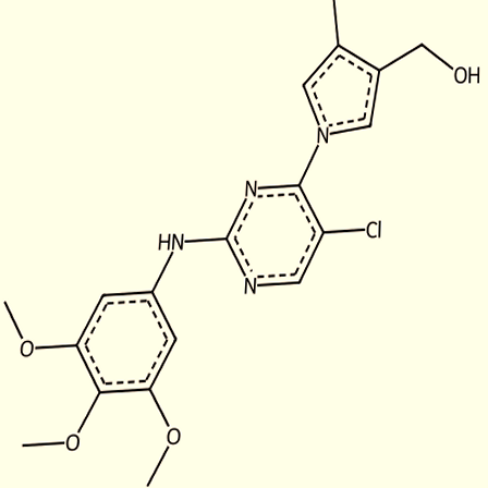 COc1cc(Nc2ncc(Cl)c(-n3cc(C)c(CO)c3)n2)cc(OC)c1OC